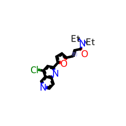 CCN(CC)C(=O)/C=C/c1ccc(-c2cc(Cl)c3cnccc3n2)o1